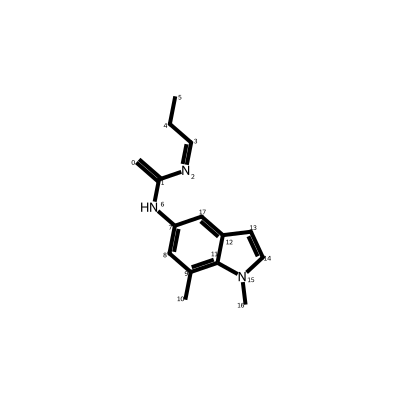 C=C(/N=C\CC)Nc1cc(C)c2c(ccn2C)c1